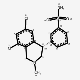 CN1Cc2c(Cl)cc(Cl)cc2[C@H](c2cccc(S(N)(=O)=O)c2)C1